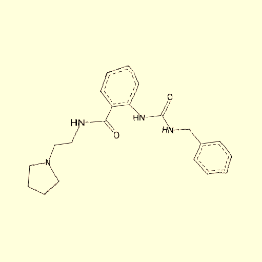 O=C(NCc1ccccc1)Nc1ccccc1C(=O)NCCN1CCCC1